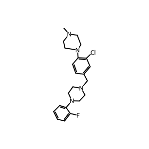 CN1CCN(c2ccc(CN3CCN(c4ccccc4F)CC3)cc2Cl)CC1